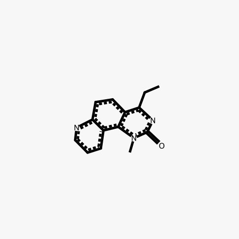 CCc1nc(=O)n(C)c2c1ccc1ncccc12